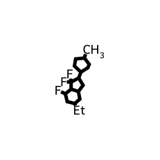 CCC1CC(F)C2C(C1)CC(C1CCC(C)CC1)C2(F)F